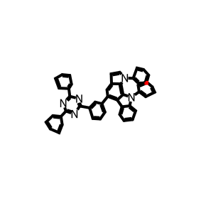 c1ccc(-c2nc(-c3ccccc3)nc(-c3cccc(-c4cc5ccn(-c6ccccc6)c5c5c4c4ccccc4n5-c4ccccc4)c3)n2)cc1